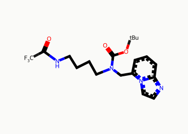 CC(C)(C)OC(=O)N(CCCCNC(=O)C(F)(F)F)Cc1cccc2nccn12